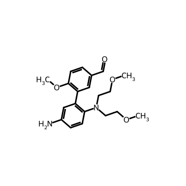 COCCN(CCOC)c1ccc(N)cc1-c1cc(C=O)ccc1OC